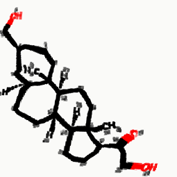 C[C@]12CC[C@H](CO)C[C@@H]1CC[C@@H]1[C@@H]2CC[C@]2(C)[C@@H](C(=O)CO)CC[C@@H]12